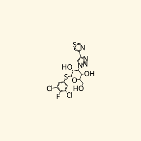 OCC1OC(Sc2cc(Cl)c(F)c(Cl)c2)[C@@H](O)C(n2cc(-c3cscn3)nn2)C1O